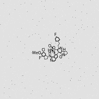 COc1c(Cl)cc2c(c1F)CC[C@H]2Nc1nccc2cc(-c3c4c(nc(CCc5ccc(F)cc5)c3-c3n[nH]c(=O)o3)[C@@H]3CCCN3C4=O)sc12